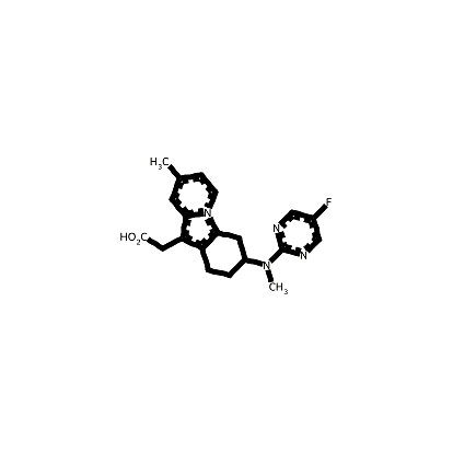 Cc1ccn2c3c(c(CC(=O)O)c2c1)CCC(N(C)c1ncc(F)cn1)C3